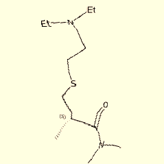 CCN(CC)CCSC[C@@H](C)C(=O)N(C)C